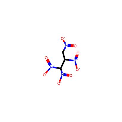 O=[N+]([O-])CC(C([N+](=O)[O-])[N+](=O)[O-])[N+](=O)[O-]